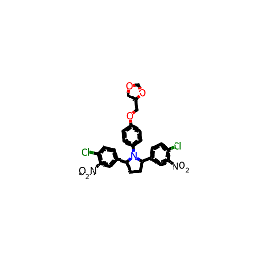 O=[N+]([O-])c1cc(C2CCC(c3ccc(Cl)c([N+](=O)[O-])c3)N2c2ccc(OCC3COCO3)cc2)ccc1Cl